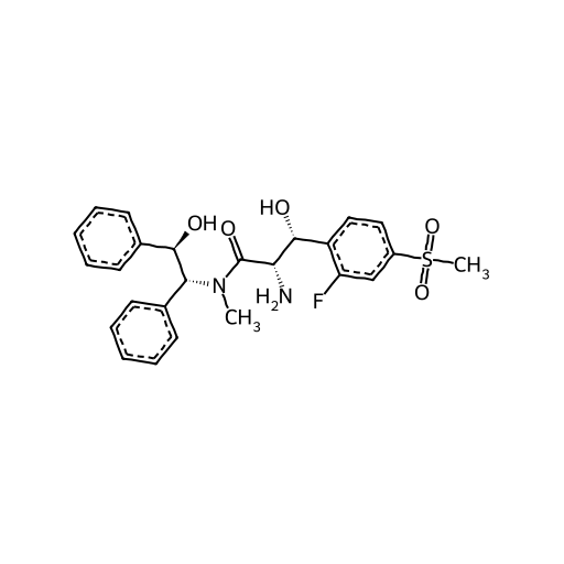 CN(C(=O)[C@@H](N)[C@H](O)c1ccc(S(C)(=O)=O)cc1F)[C@H](c1ccccc1)[C@H](O)c1ccccc1